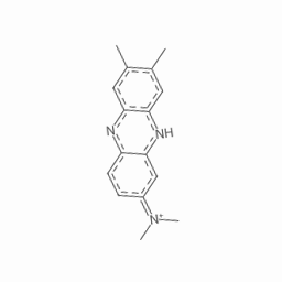 Cc1cc2nc3ccc(=[N+](C)C)cc-3[nH]c2cc1C